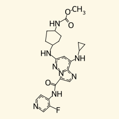 COC(=O)NC1CCC(Nc2cc(NC3CC3)c3ncc(C(=O)Nc4ccncc4F)n3n2)CC1